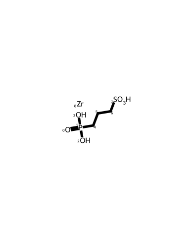 O=P(O)(O)CCCS(=O)(=O)O.[Zr]